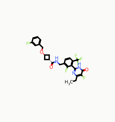 CCc1nc(-c2c(C(F)(F)F)ccc(CNC(=O)[C@H]3C[C@H](OCc4cccc(F)c4)C3)c2F)[nH]c(=O)c1F